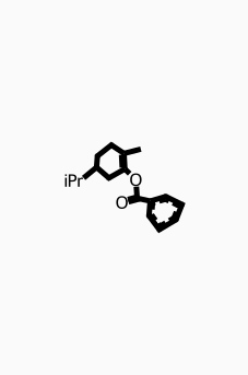 CC1=C(OC(=O)c2ccccc2)CC(C(C)C)CC1